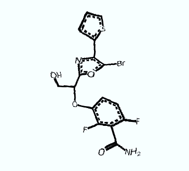 NC(=O)c1c(F)ccc(OC(CO)c2nc(-c3cccs3)c(Br)o2)c1F